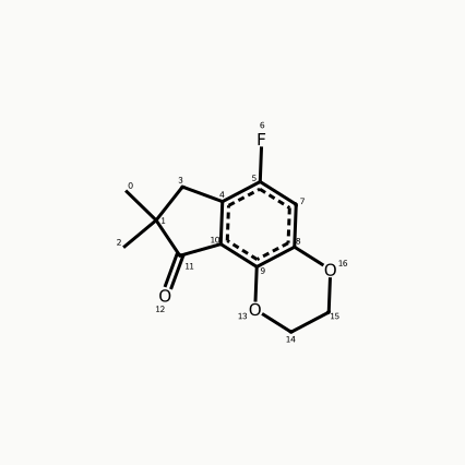 CC1(C)Cc2c(F)cc3c(c2C1=O)OCCO3